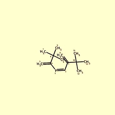 C=C(/C=P\C(=C)C(C)(C)C)C(C)(C)C